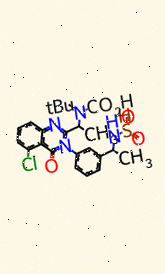 CC(c1nc2cccc(Cl)c2c(=O)n1-c1cccc([C@H](C)N[SH](=O)=O)c1)N(C(=O)O)C(C)(C)C